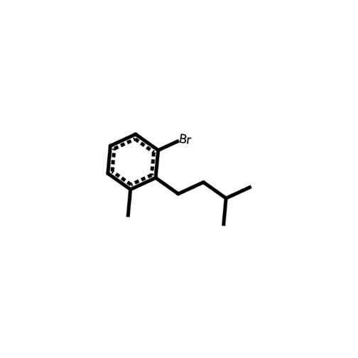 Cc1cccc(Br)c1CCC(C)C